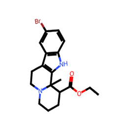 CCOC(=O)C1CCCN2CCc3c([nH]c4ccc(Br)cc34)C12C